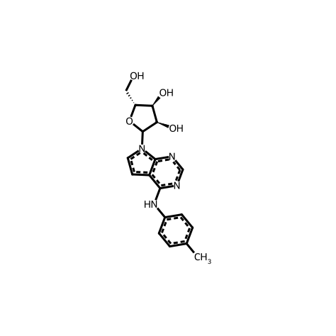 Cc1ccc(Nc2ncnc3c2ccn3C2O[C@H](CO)[C@@H](O)[C@H]2O)cc1